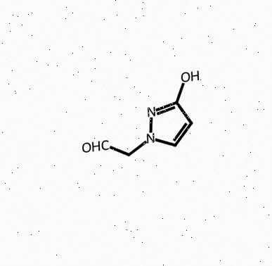 O=CCn1ccc(O)n1